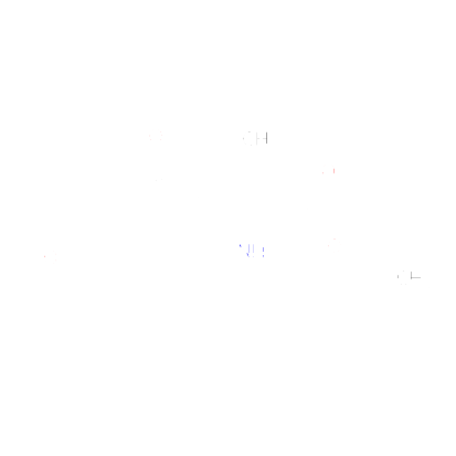 CCOC(=O)C1=C(C)C2C(=O)CC(c3ccco3)CC2N1